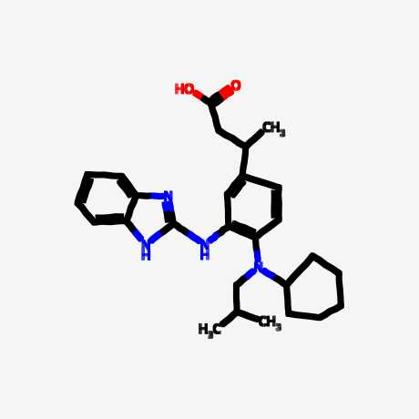 CC(C)CN(c1ccc(C(C)CC(=O)O)cc1Nc1nc2ccccc2[nH]1)C1CCCCC1